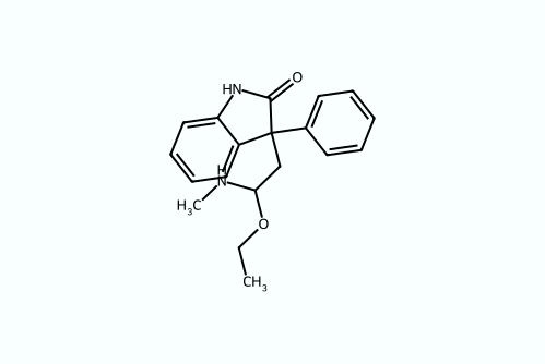 CCOC(CC1(c2ccccc2)C(=O)Nc2ccccc21)NC